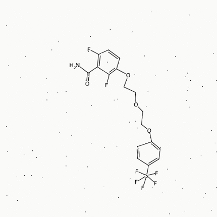 NC(=O)c1c(F)ccc(OCCOCCOc2ccc(S(F)(F)(F)(F)F)cc2)c1F